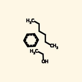 CCCCCC.CCO.c1ccccc1